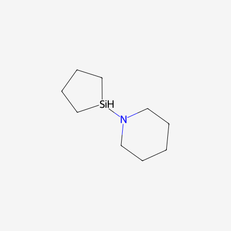 C1CCN([SiH]2CCCC2)CC1